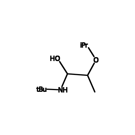 CC(C)OC(C)C(O)NC(C)(C)C